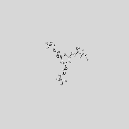 CCC(C)(C)C(=O)OCC1CC(OCOCC(C)(C)C)CC(OCOCC(C)(C)C)C1